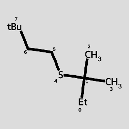 CCC(C)(C)SCCC(C)(C)C